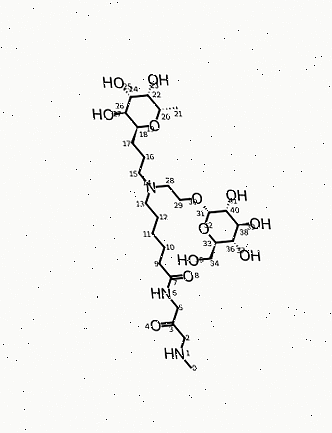 CNCC(=O)CNC(=O)CCCCCN(CCC[C@@H]1O[C@@H](C)[C@@H](O)[C@@H](O)[C@@H]1O)CCO[C@H]1O[C@H](CO)[C@@H](O)[C@H](O)[C@H]1O